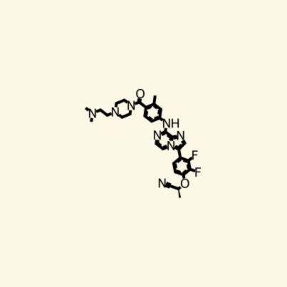 Cc1cc(Nc2nccn3c(-c4ccc(O[C@@H](C)C#N)c(F)c4F)cnc23)ccc1C(=O)N1CCN(CCN(C)C)CC1